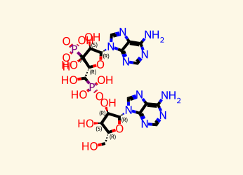 Nc1ncnc2c1ncn2[C@@H]1O[C@H](C(O)P(=O)(O)O)[C@](O)(P(=O)(O)O)[C@H]1O.Nc1ncnc2c1ncn2[C@@H]1O[C@H](CO)[C@@H](O)[C@H]1O